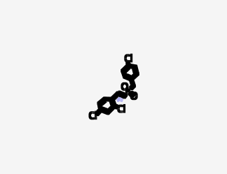 O=S(=O)(/C=C/c1ccc(Cl)cc1Cl)Cc1ccc(Cl)cc1